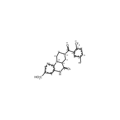 O=C(O)c1cnc2c(c1)NC(=O)C1CN(C(=O)c3cc(F)ccc3C(F)(F)F)CCN21